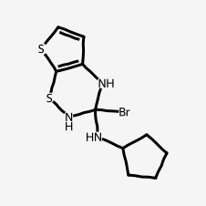 BrC1(NC2CCCC2)NSc2sccc2N1